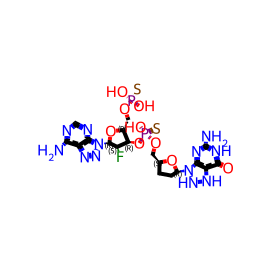 Nc1nc2c(c(=O)[nH]1)NNN2[C@H]1CC[C@@H](COP(O)(=S)O[C@H]2[C@H](F)[C@H](n3nnc4c(N)ncnc43)O[C@@H]2COP(O)(O)=S)O1